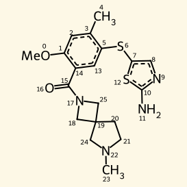 COc1cc(C)c(Sc2cnc(N)s2)cc1C(=O)N1CC2(CCN(C)C2)C1